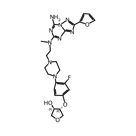 CN(CCN1CCN(c2ccc(O[C@@H]3COC[C@H]3O)cc2F)CC1)c1nc(N)n2nc(-c3ccco3)nc2n1